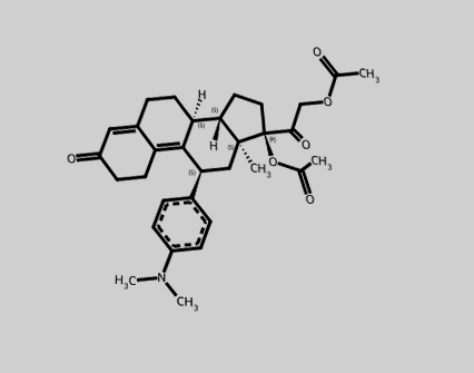 CC(=O)OCC(=O)[C@@]1(OC(C)=O)CC[C@H]2[C@@H]3CCC4=CC(=O)CCC4=C3[C@H](c3ccc(N(C)C)cc3)C[C@@]21C